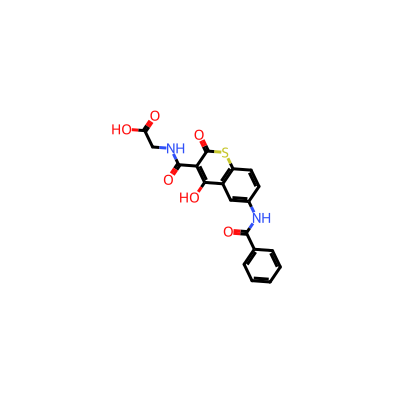 O=C(O)CNC(=O)c1c(O)c2cc(NC(=O)c3ccccc3)ccc2sc1=O